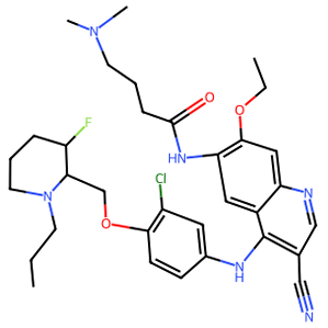 CCCN1CCCC(F)C1COc1ccc(Nc2c(C#N)cnc3cc(OCC)c(NC(=O)CCCN(C)C)cc23)cc1Cl